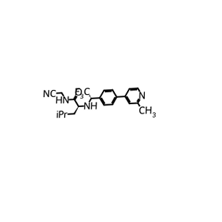 Cc1cc(-c2ccc([C@H](N[C@@H](CC(C)C)C(=O)NCC#N)C(F)(F)F)cc2)ccn1